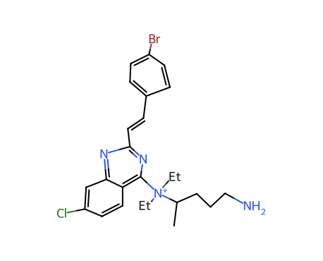 CC[N+](CC)(c1nc(C=Cc2ccc(Br)cc2)nc2cc(Cl)ccc12)C(C)CCCN